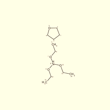 C1CCOC1.CCO[SiH](OCC)OCC